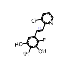 CC(C)c1c(O)cc(/C=C/c2ncccc2Cl)c(F)c1O